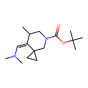 CC1CN(C(=O)OC(C)(C)C)CC2(CC2)/C1=C\N(C)C